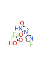 O=C(O)C(F)(F)F.O=C1CCN(c2ccc(F)nc2)C(=O)N1